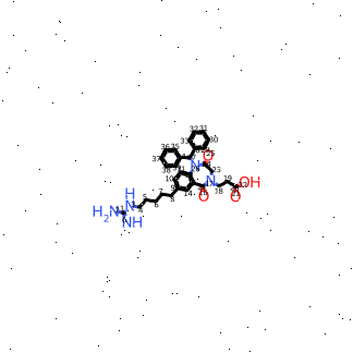 N=C(N)NCCCCCc1ccc2c(c1)C(=O)N(CCC(=O)O)CC(=O)N2C(c1ccccc1)c1ccccc1